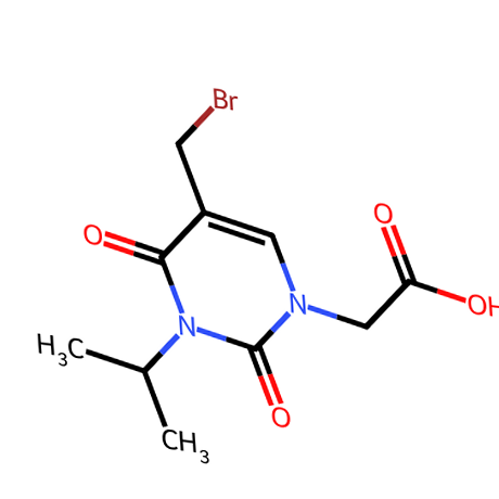 CC(C)n1c(=O)c(CBr)cn(CC(=O)O)c1=O